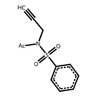 C#CCN(C(C)=O)S(=O)(=O)c1ccccc1